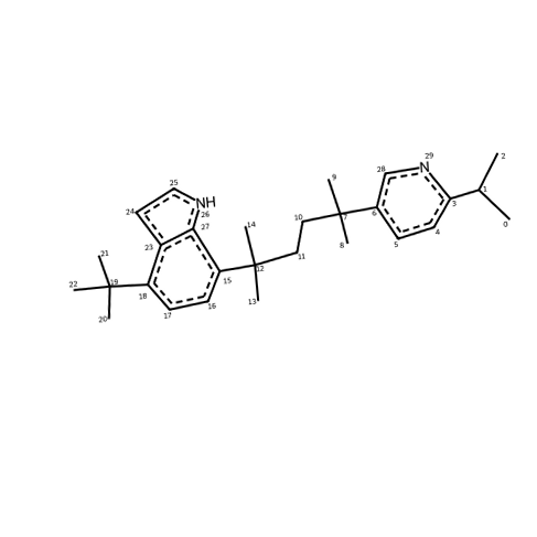 CC(C)c1ccc(C(C)(C)CCC(C)(C)c2ccc(C(C)(C)C)c3cc[nH]c23)cn1